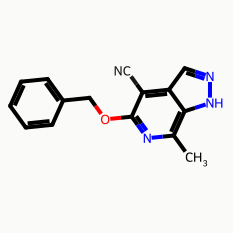 Cc1nc(OCc2ccccc2)c(C#N)c2cn[nH]c12